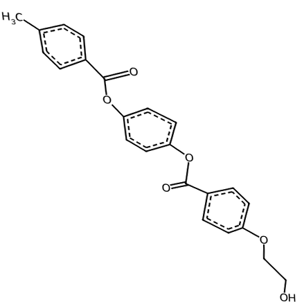 Cc1ccc(C(=O)Oc2ccc(OC(=O)c3ccc(OCCO)cc3)cc2)cc1